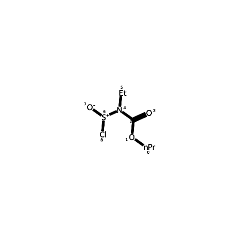 CCCOC(=O)N(CC)[S+]([O-])Cl